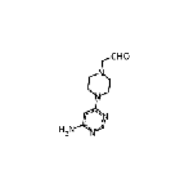 Nc1cc(N2CCN(CC=O)CC2)ncn1